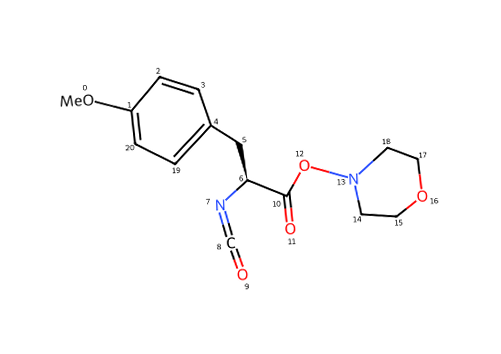 COc1ccc(C[C@H](N=C=O)C(=O)ON2CCOCC2)cc1